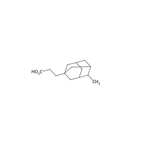 CC1C2CC3CC1CC(CCC(=O)O)(C3)C2